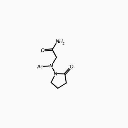 CC(=O)N(CC(N)=O)N1CCCC1=O